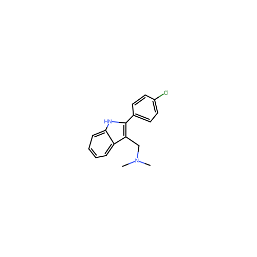 CN(C)Cc1c(-c2ccc(Cl)cc2)[nH]c2ccccc12